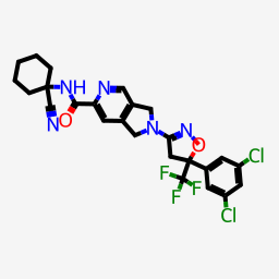 N#CC1(NC(=O)c2cc3c(cn2)CN(C2=NOC(c4cc(Cl)cc(Cl)c4)(C(F)(F)F)C2)C3)CCCCC1